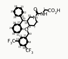 O=C(O)CNC(=O)N1CC[C@@H](OCc2cc(C(F)(F)F)cc(C(F)(F)F)c2)[C@@H](C(c2ccccc2)c2ccccc2)C1